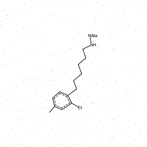 CCc1cc(C)ccc1CCCCCCNNC